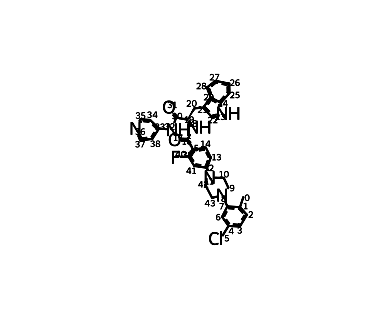 Cc1ccc(Cl)cc1N1CCN(c2ccc(C(=O)N[C@H](Cc3c[nH]c4ccccc34)C(=O)Nc3ccncc3)c(F)c2)CC1